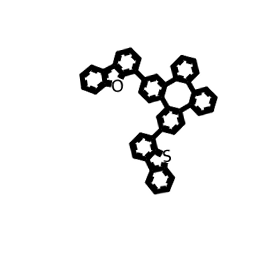 c1ccc2c(c1)-c1ccccc1-c1cc(-c3cccc4c3oc3ccccc34)ccc1-c1cc(-c3cccc4c3sc3ccccc34)ccc1-2